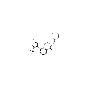 Cn1cc(-c2cccc3c2CCN(CC2CCOCC2)C3=O)c(C(F)(F)F)n1